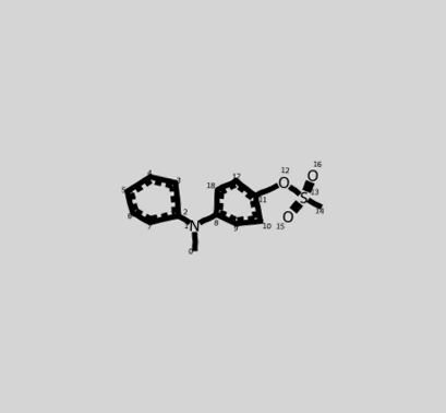 CN(c1ccccc1)c1ccc(OS(C)(=O)=O)cc1